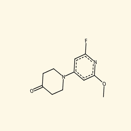 COc1cc(N2CCC(=O)CC2)cc(F)n1